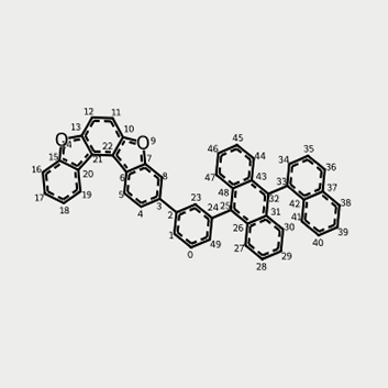 c1cc(-c2ccc3c(c2)oc2ccc4oc5ccccc5c4c23)cc(-c2c3ccccc3c(-c3cccc4ccccc34)c3ccccc23)c1